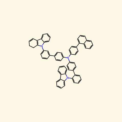 C1=Cc2c(n(-c3cccc(-c4ccc(N(c5ccc(-c6ccccc6-n6c7ccccc7c7ccccc76)cc5)c5ccc(-c6cccc7ccccc67)cc5)cc4)c3)c3ccccc23)CC1